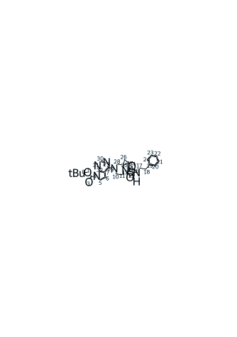 CC(C)(C)OC(=O)n1ccc2c(N3CCN(S(=O)(=O)NCCc4ccccc4)C4(CC4)C3)ncnc21